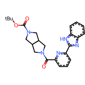 CC(C)(C)OC(=O)N1CC2CN(C(=O)c3cccc(-c4nc5ccccc5[nH]4)n3)CC2C1